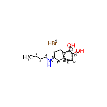 Br.CCCCNC1CCc2c(ccc(O)c2O)C1